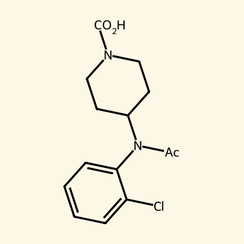 CC(=O)N(c1ccccc1Cl)C1CCN(C(=O)O)CC1